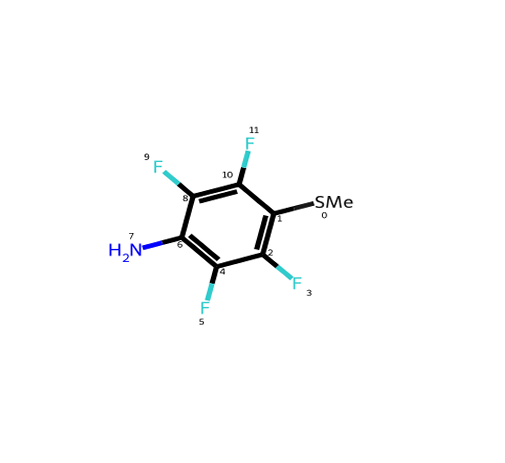 CSc1c(F)c(F)c(N)c(F)c1F